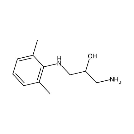 Cc1cccc(C)c1NCC(O)CN